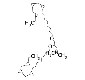 CCC1CC1CC1CC1CC1CC1CCCCCCCCOCC(CN(C)C)OCCCCCCCCC1CC1CC1CC1CC1CC1CC